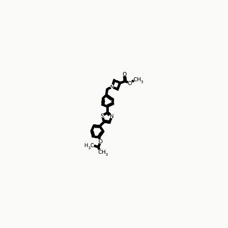 COC(=O)C1CN(Cc2ccc(-c3ncc(-c4cccc(OC(C)C)c4)s3)cc2)C1